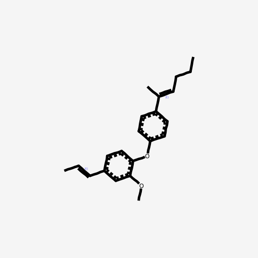 C/C=C/c1ccc(Oc2ccc(/C(C)=C/CCC)cc2)c(OC)c1